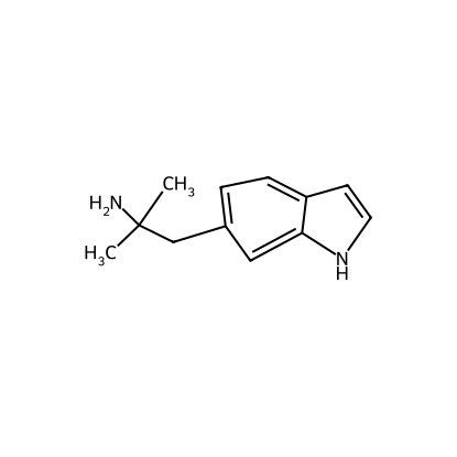 CC(C)(N)Cc1ccc2cc[nH]c2c1